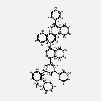 c1ccc(-c2nc(-c3ccc(-c4cc5c6ccccc6c(-c6ccccc6)cc5c5ccccc45)c4ccccc34)nc(-c3cccc4oc5ccccc5c34)n2)cc1